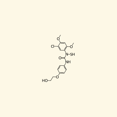 COc1cc(OC)c(N(S)C(=O)Nc2ccc(OCCO)cc2)cc1Cl